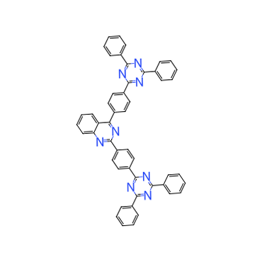 c1ccc(-c2nc(-c3ccccc3)nc(-c3ccc(-c4nc(-c5ccc(-c6nc(-c7ccccc7)nc(-c7ccccc7)n6)cc5)c5ccccc5n4)cc3)n2)cc1